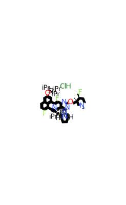 CC(C)[Si](C#Cc1c(F)ccc2cc(O[Si](C(C)C)(C(C)C)C(C)C)cc(-c3ncc4c(N5C[C@H]6CC[C@@H](C5)N6)nc(OC[C@]5(C)CN(C)CC[C@@H]5CF)nc4c3F)c12)(C(C)C)C(C)C.Cl